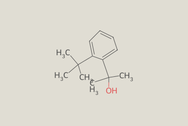 CC(C)(C)c1ccccc1C(C)(C)O